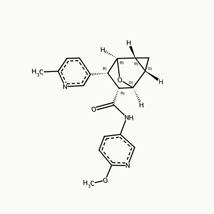 COc1ccc(NC(=O)[C@H]2[C@H]3O[C@H]([C@@H]4C[C@@H]43)[C@H]2c2ccc(C)nc2)cn1